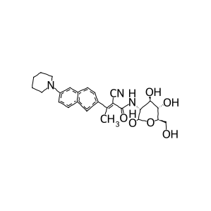 C/C(=C(/C#N)C(=O)N[C@H]1C(O)O[C@H](CO)[C@@H](O)[C@@H]1O)c1ccc2cc(N3CCCCC3)ccc2c1